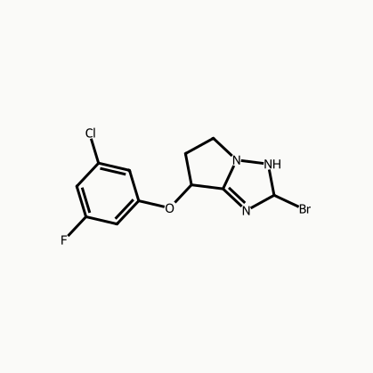 Fc1cc(Cl)cc(OC2CCN3NC(Br)N=C23)c1